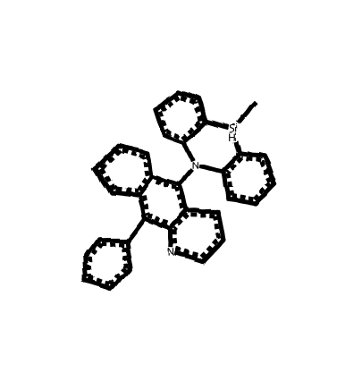 C[SiH]1c2ccccc2N(c2c3ccccc3c(-c3ccccc3)c3ncccc23)c2ccccc21